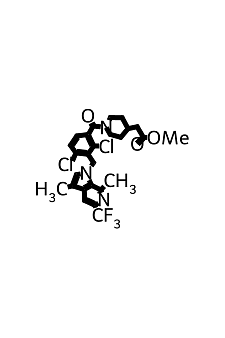 COC(=O)CC1CCN(C(=O)c2ccc(Cl)c(Cn3cc(C)c4cc(C(F)(F)F)nc(C)c43)c2Cl)CC1